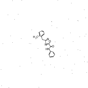 Cc1ccccc1Cc1noc(C(=O)Nc2ccccc2)n1